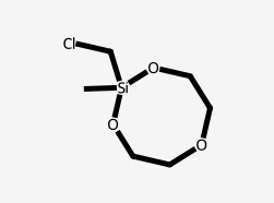 C[Si]1(CCl)OCCOCCO1